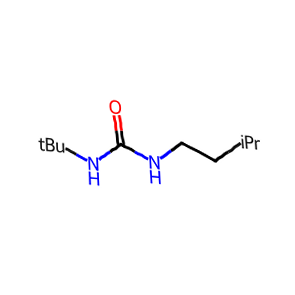 CC(C)CCNC(=O)NC(C)(C)C